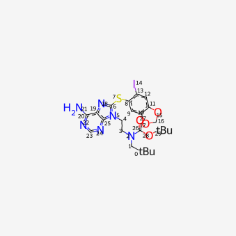 CC(C)(C)CN(CCn1c(Sc2cc3c(cc2I)OCO3)nc2c(N)ncnc21)C(=O)OC(C)(C)C